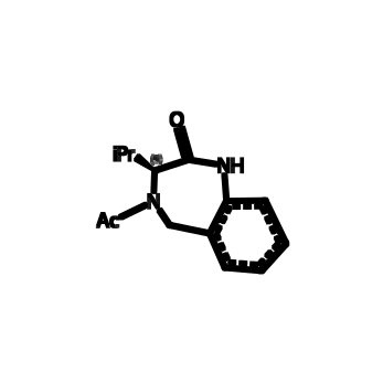 CC(=O)N1Cc2ccccc2NC(=O)[C@@H]1C(C)C